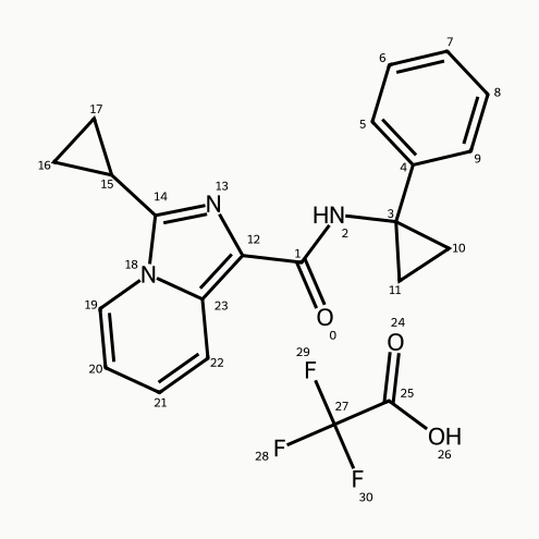 O=C(NC1(c2ccccc2)CC1)c1nc(C2CC2)n2ccccc12.O=C(O)C(F)(F)F